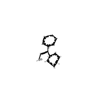 [CH2]CCC=C(c1ccccc1)c1ccccc1